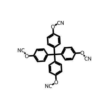 N#COc1ccc(C(c2ccc(OC#N)cc2)(c2ccc(OC#N)cc2)c2ccc(OC#N)cc2)cc1